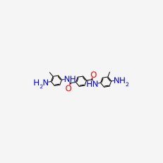 Cc1cc(NC(=O)c2ccc(C(=O)Nc3ccc(N)c(C)c3)cc2)ccc1N